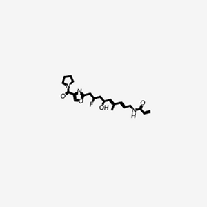 C=CC(=O)NC/C=C/C(C)=C/C(O)CC(F)Cc1nc(C(=O)N2CCCC2)co1